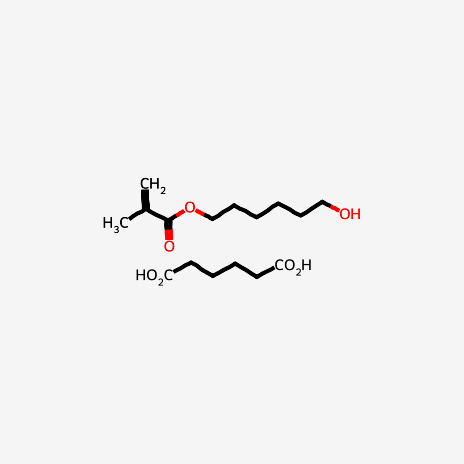 C=C(C)C(=O)OCCCCCCO.O=C(O)CCCCC(=O)O